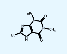 CCCn1c(=O)n(C)c(=O)c2[nH]c(CC)nc21